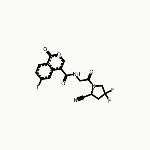 N#CC1CC(F)(F)CN1C(=O)CNC(=O)c1coc(=O)c2ccc(F)cc12